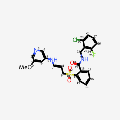 COc1cncc(NC=CCS(=O)(=O)c2ccccc2C(=O)NCc2c(F)cccc2Cl)c1